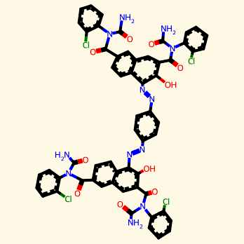 NC(=O)N(C(=O)c1ccc2c(N=Nc3ccc(N=Nc4c(O)c(C(=O)N(C(N)=O)c5ccccc5Cl)cc5cc(C(=O)N(C(N)=O)c6ccccc6Cl)ccc45)cc3)c(O)c(C(=O)N(C(N)=O)c3ccccc3Cl)cc2c1)c1ccccc1Cl